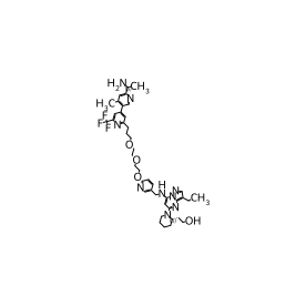 CCc1cnn2c(NCc3ccc(OCCOCCOCCCc4cc(-c5cnc([C@H](C)N)cc5C)cc(C(F)(F)F)n4)nc3)cc(N3CCCC[C@H]3CCO)nc12